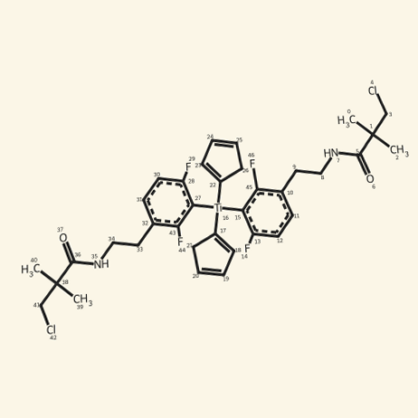 CC(C)(CCl)C(=O)NCCc1ccc(F)[c]([Ti]([C]2=CC=CC2)([C]2=CC=CC2)[c]2c(F)ccc(CCNC(=O)C(C)(C)CCl)c2F)c1F